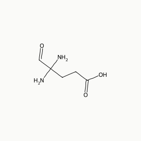 NC(N)(C=O)CCC(=O)O